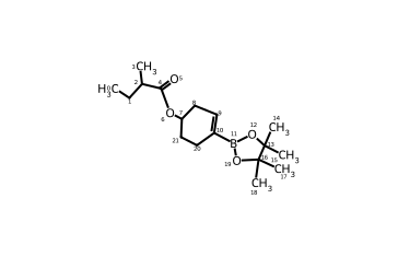 CCC(C)C(=O)OC1CC=C(B2OC(C)(C)C(C)(C)O2)CC1